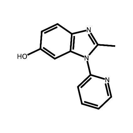 Cc1nc2ccc(O)cc2n1-c1ccccn1